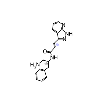 NC[C@H](Cc1ccccc1)NC(=O)/C=C/c1n[nH]c2ncccc12